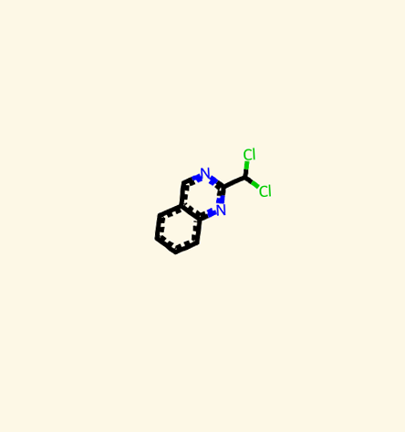 ClC(Cl)c1ncc2ccccc2n1